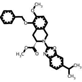 COC(=O)[C@@H]1Cc2c(ccc(OC)c2OCc2ccccc2)CN1c1nc2ccc(C(C)C)cc2o1